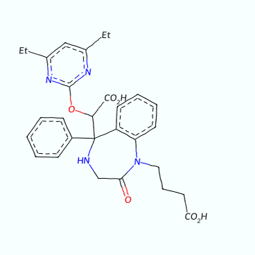 CCc1cc(CC)nc(OC(C(=O)O)C2(c3ccccc3)NCC(=O)N(CCCC(=O)O)c3ccccc32)n1